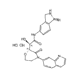 Cl.Cl.N=C1NCc2cc(NC(=O)[C@H](O)[C@H]3OCCN(c4ccc5cccnc5c4)C3=O)ccc21